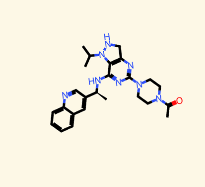 CC(=O)N1CCN(c2nc3c(c(N[C@@H](C)c4cnc5ccccc5c4)n2)N(C(C)C)NC3)CC1